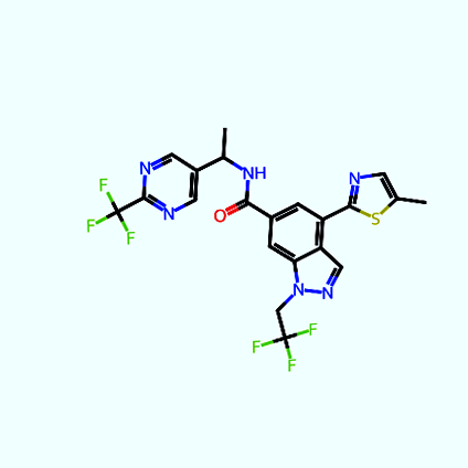 Cc1cnc(-c2cc(C(=O)NC(C)c3cnc(C(F)(F)F)nc3)cc3c2cnn3CC(F)(F)F)s1